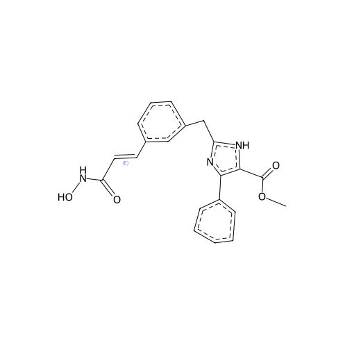 COC(=O)c1[nH]c(Cc2cccc(/C=C/C(=O)NO)c2)nc1-c1ccccc1